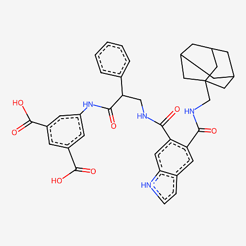 O=C(O)c1cc(NC(=O)C(CNC(=O)c2cc3[nH]ccc3cc2C(=O)NCC23CC4CC(CC(C4)C2)C3)c2ccccc2)cc(C(=O)O)c1